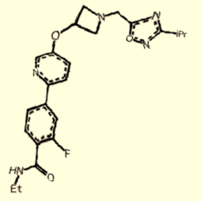 CCNC(=O)c1ccc(-c2ccc(OC3CN(Cc4nc(C(C)C)no4)C3)cn2)cc1F